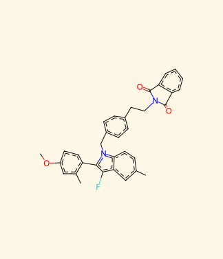 COc1ccc(-c2c(F)c3cc(C)ccc3n2Cc2ccc(CCN3C(=O)c4ccccc4C3=O)cc2)c(C)c1